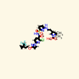 CC1(C)CC(CCNc2cccc(S(=O)(=O)NC(=O)c3ccc(-n4ccc(OCCC5(C(F)(F)F)CC5)n4)nc3Cl)n2)CN1C(=O)O